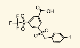 O=C(O)c1cc(S(=O)(=O)Cc2ccc(I)cc2)cc(S(=O)(=O)C(F)(F)F)c1